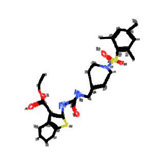 CCOC(=O)c1c(NC(=O)NCC2CCN(S(=O)(=O)c3c(C)cc(C)cc3C)CC2)sc2c1CCCC2